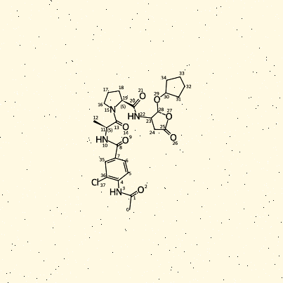 CC(=O)Nc1ccc(C(=O)N[C@@H](C)C(=O)N2CCC[C@H]2C(=O)NC2CC(=O)OC2OC2CCCC2)cc1Cl